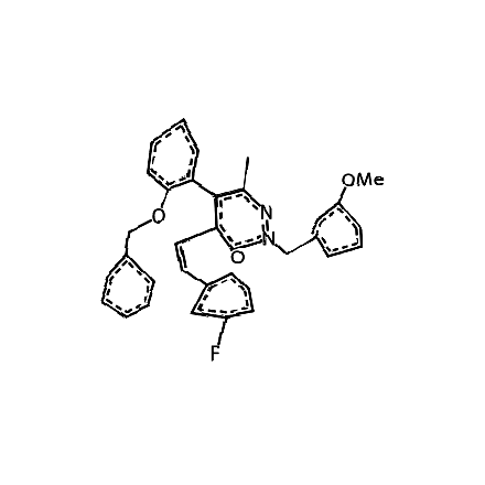 COc1cccc(Cn2nc(C)c(-c3ccccc3OCc3ccccc3)c(C=Cc3cccc(F)c3)c2=O)c1